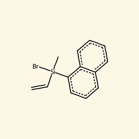 C=C[Si](C)(Br)c1cccc2ccccc12